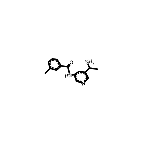 Cc1cccc(C(=O)Nc2cncc(C(C)N)c2)c1